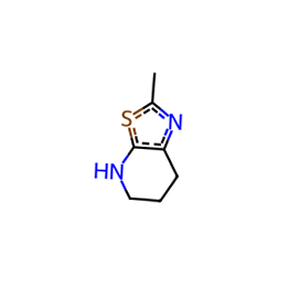 Cc1nc2c(s1)NCCC2